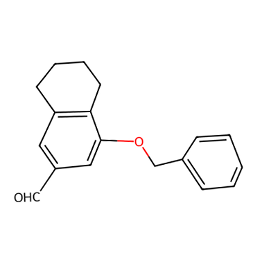 O=Cc1cc2c(c(OCc3ccccc3)c1)CCCC2